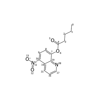 CCCCC(=O)Oc1ccc([N+](=O)[O-])c2cccnc12